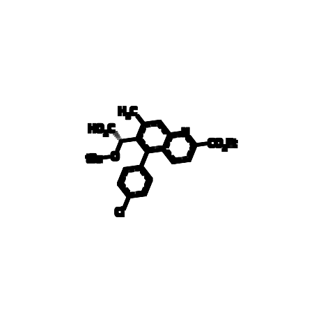 CCOC(=O)c1ccc2c(-c3ccc(Cl)cc3)c([C@H](OC(C)(C)C)C(=O)O)c(C)cc2n1